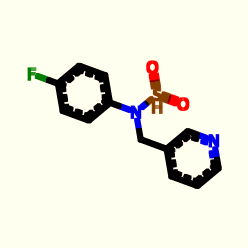 O=[SH](=O)N(Cc1cccnc1)c1ccc(F)cc1